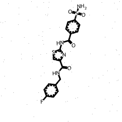 NS(=O)(=O)c1ccc(C(=O)Nc2nc(C(=O)NCc3ccc(F)cc3)cs2)cc1